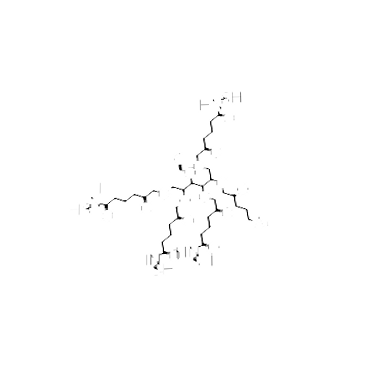 C=COC(C(COCC(=O)CCCC(=O)NS)OCC(=O)CCCC(=O)NS)C(OCC(=O)CCCC(=O)NS)C(COCC(=O)CCCC(=O)NS)OCC(=O)CCCC(C)=O